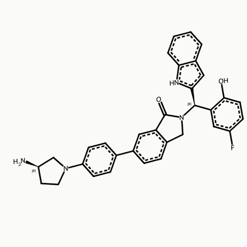 N[C@@H]1CCN(c2ccc(-c3ccc4c(c3)C(=O)N([C@@H](c3cc5ccccc5[nH]3)c3cc(F)ccc3O)C4)cc2)C1